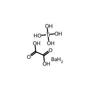 O=C(O)C(=O)O.[BaH2].[OH][Ti]([OH])([OH])[OH]